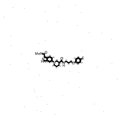 CNC(=O)c1n[nH]c2cc(N3CCCC(C(=O)NCCCOc4ccc(F)cc4)C3)ccc12